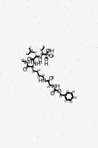 CC[C@H](N[C@@H](CC(C)C)C(=O)N[C@@H](CCCCNC(=O)CNC(=O)OCc1ccccc1)C(=O)NC)P(=O)(O)O